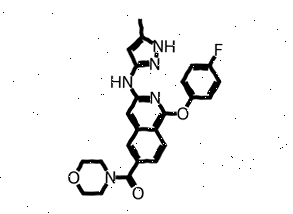 Cc1cc(Nc2cc3cc(C(=O)N4CCOCC4)ccc3c(Oc3ccc(F)cc3)n2)n[nH]1